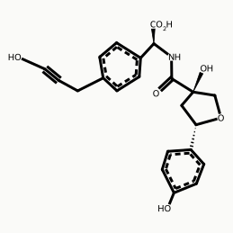 O=C(O)[C@@H](NC(=O)[C@]1(O)CO[C@H](c2ccc(O)cc2)C1)c1ccc(CC#CO)cc1